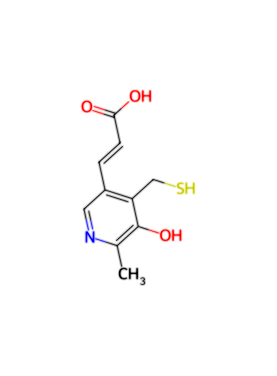 Cc1ncc(/C=C/C(=O)O)c(CS)c1O